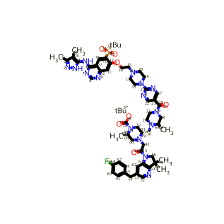 Cc1n[nH]c(Nc2ncnc3cc(OCCN4CCN(c5ncc(C(=O)N6CCN(C[C@H]7CN(C(=O)OC(C)(C)C)[C@H](C)CN7CC(=O)N7CC(C)(C)c8ncc(Cc9ccc(F)cc9)cc87)C(C)C6)cn5)CC4)c(S(=O)(=O)C(C)(C)C)cc23)c1C